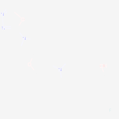 Oc1ccc(F)cc1C1CCN([C@@H]2COC3(C2)CN(c2nnco2)C3)CC1